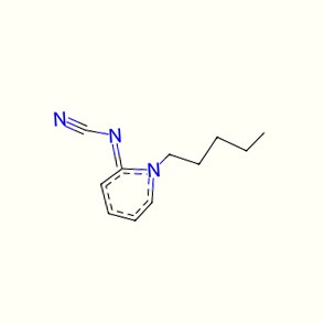 CCCCCn1cccc/c1=N\C#N